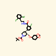 CC(C)(C)OC(=O)N1CC[C@@H](c2ccc(F)c(C(=O)NCCc3c(F)cccc3F)c2)[C@H](COc2ccc3c(c2)OCO3)C1